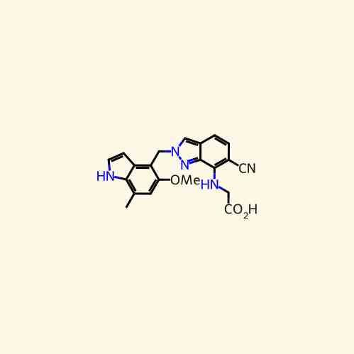 COc1cc(C)c2[nH]ccc2c1Cn1cc2ccc(C#N)c(NCC(=O)O)c2n1